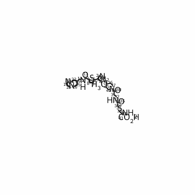 CC1(Cn2cc(-c3ccc(C(=O)NCc4ccn5ccnc5c4)s3)cn2)CCN(C(=O)CCNC(=O)CSC[C@H](N)C(=O)O)CC1